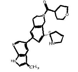 Cc1c[nH]c2ncc(-c3cc4c(c([C@@H]5CCCN5)c3)CN(C(=O)C3CCOCC3)CC4)cc12